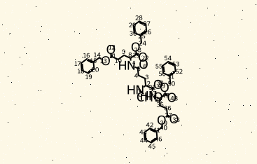 O=CNC(CCC(=O)NC(CCC(=O)OCc1ccccc1)C(=O)OCc1ccccc1)C(=O)NC(CCC(=O)OCc1ccccc1)C(=O)OCc1ccccc1